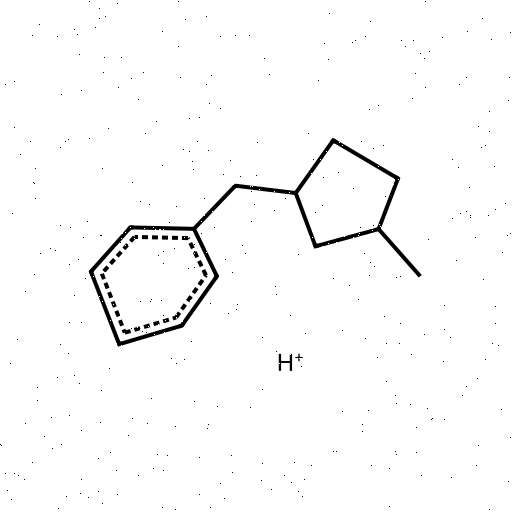 CC1CCC(Cc2ccccc2)C1.[H+]